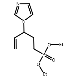 C=CC(CCP(=O)(OCC)OCC)n1ccnc1